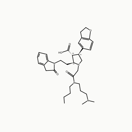 CCCCN(CCCN(C)C)C(=O)CN1C[C@H](c2ccc3c(c2)CCO3)[C@@H](C(=O)O)[C@@H]1CCN1C(=O)Cc2ccccc21